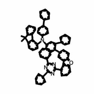 CC1(C)c2ccccc2-c2c(N(c3ccc(-c4ccccc4)cc3)c3ccc(-c4ccc5oc6cccc(-c7nc(-c8ccccc8)nc(-c8ccccc8)n7)c6c5c4)c(-c4ccccc4)c3)cccc21